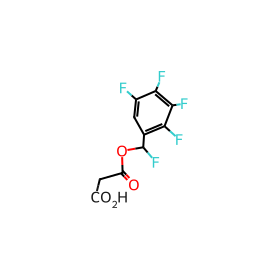 O=C(O)CC(=O)OC(F)c1cc(F)c(F)c(F)c1F